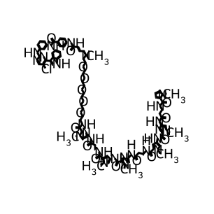 CN(C/C=C/C(=O)Nc1ccc(C(=O)Nc2cccc(Nc3ncc(Cl)c(-c4c[nH]c5ccccc45)n3)c2)cc1)CCOCCOCCOCCOCCOCCNC(=O)c1nc(NC(=O)CCNC(=O)c2cc(NC(=O)c3nc(NC(=O)CCNC(=O)c4cc(NC(=O)c5nc(NC(=O)CCNC(=O)c6cccn6C)cn5C)cn4C)cn3C)cn2C)cn1C